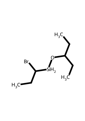 CCC(CC)O[SiH2]C(Br)CC